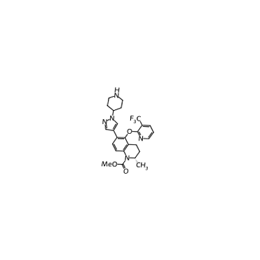 COC(=O)N1c2ccc(-c3cnn(C4CCNCC4)c3)c(Oc3ncccc3C(F)(F)F)c2CC[C@@H]1C